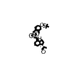 CC1=C(CS(=O)(=O)C/C=C2\CCC[C@]3(C)[C@@H](C(C)C=O)CC[C@@H]23)CCC(O[Si](C)(C)C(C)(C)C)C1